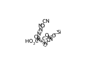 C[Si](C)(C)CCOCn1ncc(N2CCC[C@H]2CCN(CC(=O)N2CCN(c3ccc(C#N)cn3)CC2)C(=O)O)c(C(F)(F)F)c1=O